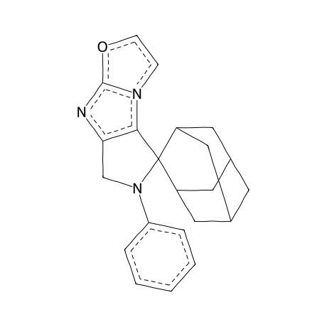 c1ccc(N2Cc3nc4occn4c3C23C2CC4CC(C2)CC3C4)cc1